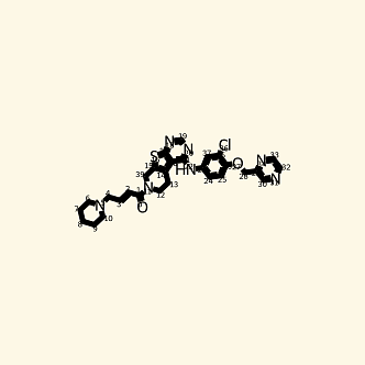 O=C(/C=C/CN1CCCCC1)N1CCc2c(sc3ncnc(Nc4ccc(OCc5cnccn5)c(Cl)c4)c23)C1